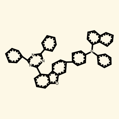 c1ccc(-c2nc(-c3ccccc3)nc(-c3cccc4oc5cc(-c6ccc(N(c7ccccc7)c7cccc8ccccc78)cc6)ccc5c34)n2)cc1